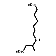 CCCCCCCCCCCCCCCCNC(C)CCCCCCCCCCC